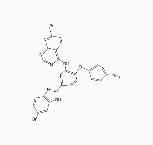 CC(C)c1ccc2c(Nc3cc(-c4nc5ccc(Br)cc5[nH]4)ccc3Oc3ccc(N)cc3)ncnc2n1